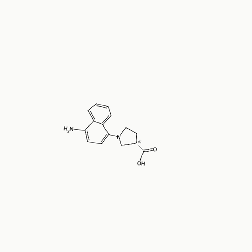 Nc1ccc(N2CC[C@H](C(=O)O)C2)c2ccccc12